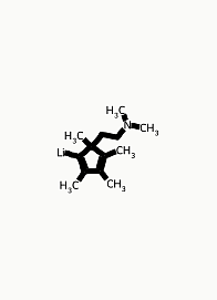 [Li][C]1=C(C)C(C)=C(C)C1(C)CCN(C)C